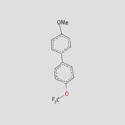 [CH2]Oc1ccc(-c2ccc(OC(F)(F)F)cc2)cc1